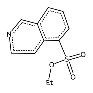 CCOS(=O)(=O)c1cccc2cnccc12